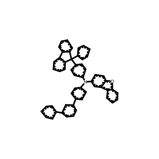 c1ccc(-c2cccc(-c3ccc(N(c4ccc(C5(c6ccccc6)c6ccccc6-c6ccccc65)cc4)c4ccc5oc6ccccc6c5c4)cc3)c2)cc1